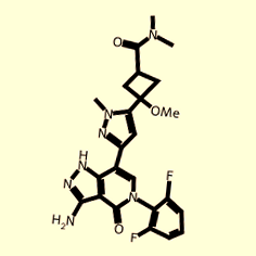 COC1(c2cc(-c3cn(-c4c(F)cccc4F)c(=O)c4c(N)n[nH]c34)nn2C)CC(C(=O)N(C)C)C1